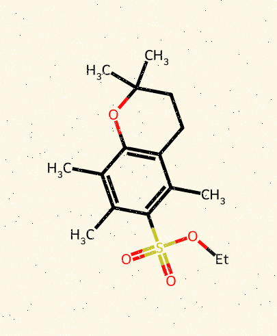 CCOS(=O)(=O)c1c(C)c(C)c2c(c1C)CCC(C)(C)O2